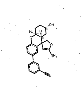 N#Cc1cccc(-c2ccc3c(c2)C2(COC(N)=N2)[C@H]2C[C@@H](O)CC[C@@H]2O3)c1